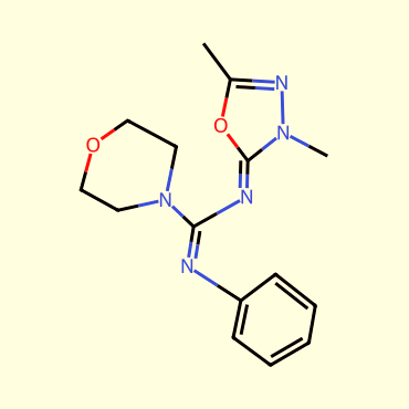 Cc1nn(C)c(=NC(=Nc2ccccc2)N2CCOCC2)o1